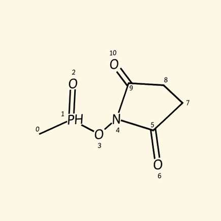 C[PH](=O)ON1C(=O)CCC1=O